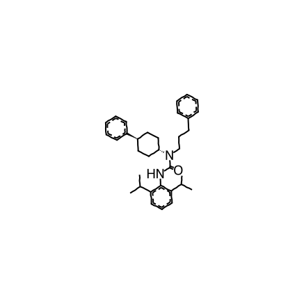 CC(C)c1cccc(C(C)C)c1NC(=O)N(CCCc1ccccc1)[C@H]1CC[C@H](c2ccccc2)CC1